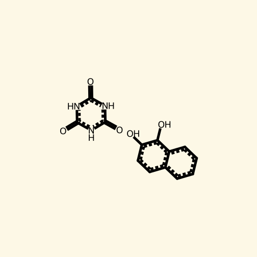 O=c1[nH]c(=O)[nH]c(=O)[nH]1.Oc1ccc2ccccc2c1O